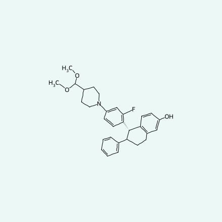 COC(OC)C1CCN(c2ccc([C@@H]3c4ccc(O)cc4CCC3c3ccccc3)c(F)c2)CC1